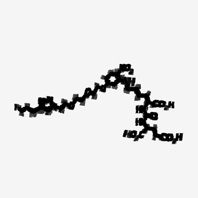 O=C(O)CCC(NC(=O)N[C@@H](CCCCNc1cc(OCCOCCOCCn2cc(CCCF)nn2)ccc1[N+](=O)[O-])C(=O)O)C(=O)O